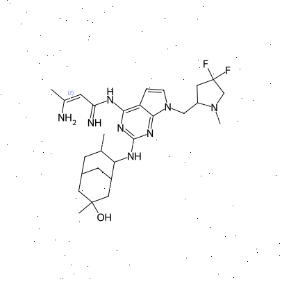 C/C(N)=C/C(=N)Nc1nc(NC2C(C)CC3CC2CC(C)(O)C3)nc2c1ccn2CC1CC(F)(F)CN1C